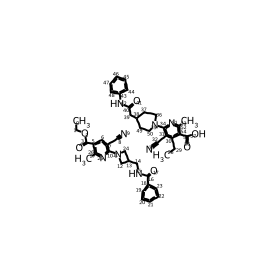 CCOC(=O)c1cc(C#N)c(N2CC(CNC(=O)c3ccccc3)C2)nc1C.CCc1c(C#N)c(N2CCC(CC(=O)Nc3ccccc3)CC2)nc(C)c1C(=O)O